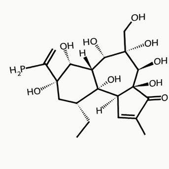 C=C(P)[C@]1(O)C[C@@H](CC)[C@@]2(O)[C@H]([C@H]1O)[C@H](O)[C@@](O)(CO)[C@@H](O)[C@]1(O)C(=O)C(C)=C[C@H]12